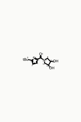 CC(C)(C)c1ccc(C(=O)N2CC(O)C(O)C2)s1